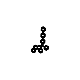 c1ccc(-c2ccc(-c3ccc(N(c4ccccc4)c4cc5ccc6ccccc6c5c5ccccc45)cc3)cc2)cc1